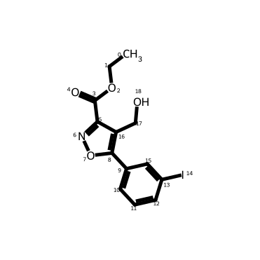 CCOC(=O)c1noc(-c2cccc(I)c2)c1CO